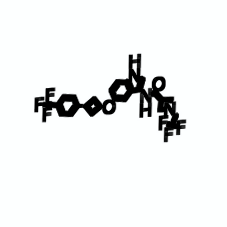 O=C(Nc1c[nH]c2ccc(O[C@H]3C[C@H](c4ccc(C(F)(F)F)cc4)C3)cc12)C1CN(CC(F)(F)F)C1